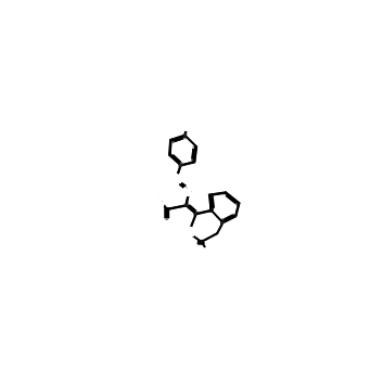 CC1(C)Cc2ccccc2C(=C(N=Nc2ccc([N+](=O)[O-])cc2)C(N)=O)N1